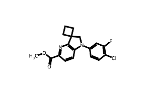 COC(=O)c1ccc2c(n1)C1(CCC1)CN2c1ccc(Cl)c(F)c1